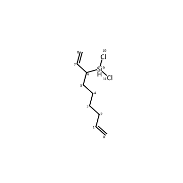 C=CCCCCC(C=C)[SiH](Cl)Cl